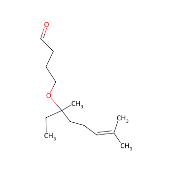 CCC(C)(CCC=C(C)C)OCCCC=O